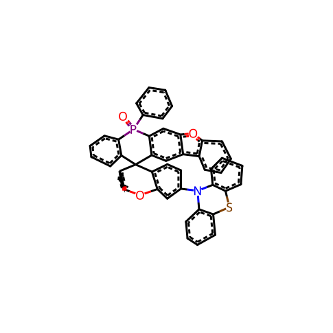 O=P1(c2ccccc2)c2ccccc2C2(c3ccccc3Oc3cc(N4c5ccccc5Sc5ccccc54)ccc32)c2cc3c(cc21)oc1ccccc13